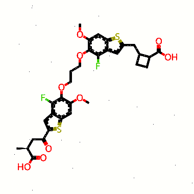 COc1cc2sc(CC3CCC3C(=O)O)cc2c(F)c1OCCCOc1c(OC)cc2sc(C(=O)C[C@H](C)C(=O)O)cc2c1F